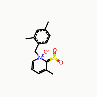 CC1=CC=C[N+]([O-])(Cc2ccc(C)cc2C)C1=S(=O)=O